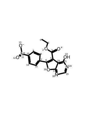 CCOC(=O)c1c(-c2ccc([N+](=O)[O-])cc2)oc2ncnc(O)c12